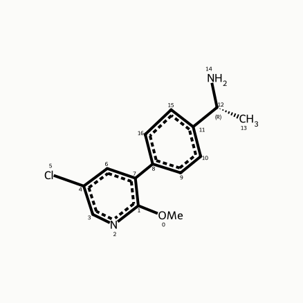 COc1ncc(Cl)cc1-c1ccc([C@@H](C)N)cc1